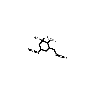 CC1C(CN=C=O)CC(N=C=O)CC1(C)C